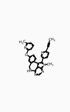 CC#Cc1ccc(-c2c3c4c(ncnc4n2C)NCc2cc(Oc4cccc(C)n4)ccc2-3)cn1